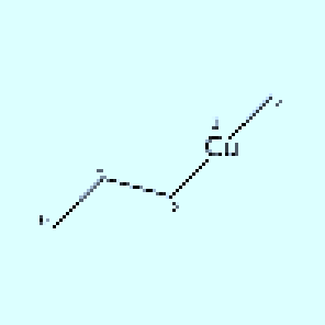 CC[CH2][Cu][CH3]